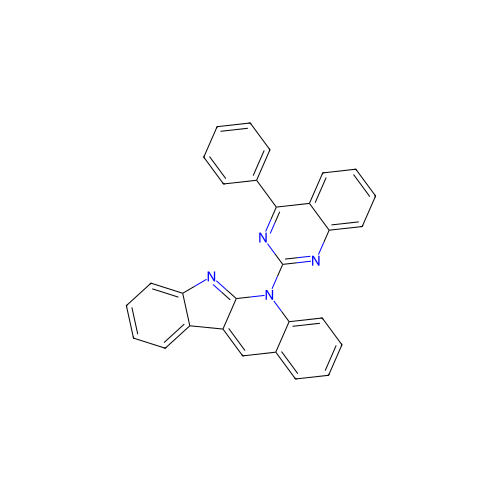 c1ccc(-c2nc(-n3c4nc5ccccc5c-4cc4ccccc43)nc3ccccc23)cc1